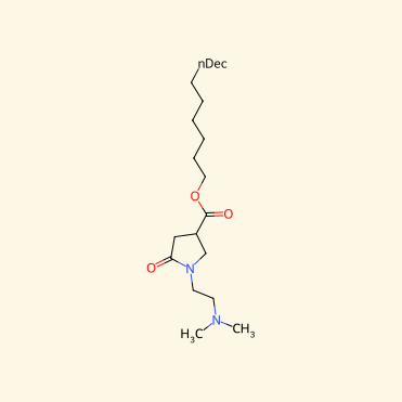 CCCCCCCCCCCCCCCCOC(=O)C1CC(=O)N(CCN(C)C)C1